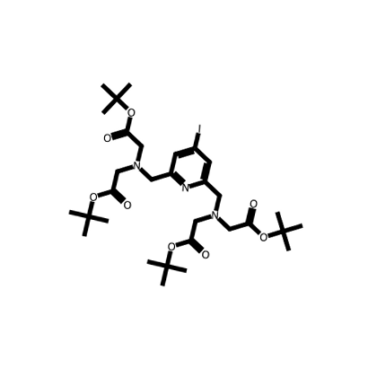 CC(C)(C)OC(=O)CN(CC(=O)OC(C)(C)C)Cc1cc(I)cc(CN(CC(=O)OC(C)(C)C)CC(=O)OC(C)(C)C)n1